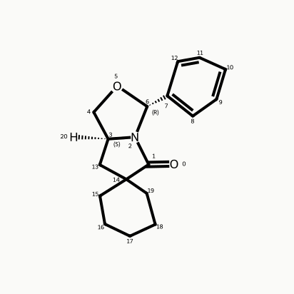 O=C1N2[C@H](CO[C@@H]2c2ccccc2)CC12CCCCC2